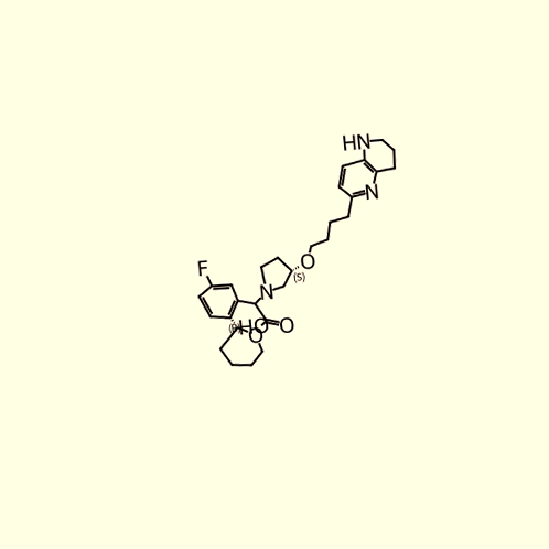 O=C(O)C(c1cc(F)ccc1[C@H]1CCCCO1)N1CC[C@H](OCCCCc2ccc3c(n2)CCCN3)C1